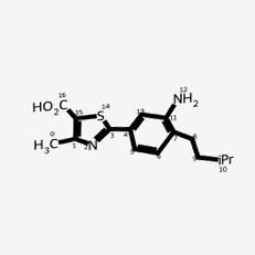 Cc1nc(-c2ccc(CCC(C)C)c(N)c2)sc1C(=O)O